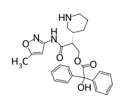 Cc1cc(NC(=O)C(COC(=O)C(O)(c2ccccc2)c2ccccc2)[C@H]2CCCNC2)no1